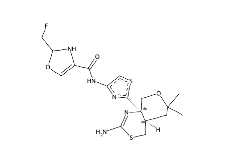 CC1(C)C[C@H]2CSC(N)=N[C@@]2(c2nc(NC(=O)C3=COC(CF)N3)cs2)CO1